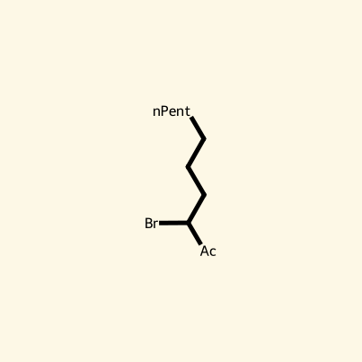 CCCCCCCCC(Br)C(C)=O